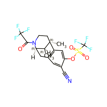 C[C@H]1[C@H]2Cc3cc(C#N)c(OS(=O)(=O)C(F)(F)F)cc3[C@]1(C)CCN2C(=O)C(F)(F)F